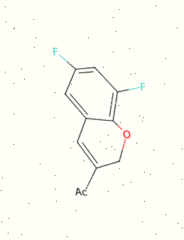 CC(=O)C1=Cc2cc(F)cc(F)c2OC1